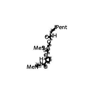 CCCC(C)C#CCNC(=O)COCCOC(COc1cccc(C(=O)NCCNC)c1)SSC